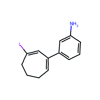 Nc1cccc(C2=CCCCC(I)=C2)c1